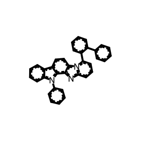 c1ccc(-c2ccccc2-c2cccc3nc4c5c(ccc4n23)c2ccccc2n5-c2ccccc2)cc1